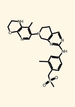 Cc1cc(Nc2ncc3c(n2)CN(c2cnc4c(c2C)NCCO4)CC3)ccc1CS(C)(=O)=O